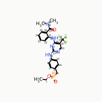 CCO[PH](=O)Cc1ccc(Nc2ncc(C(F)(F)F)c(Nc3ccccc3C(=O)N(C)C)n2)cc1